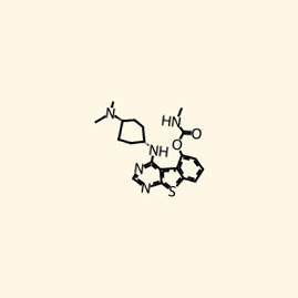 CNC(=O)Oc1cccc2sc3ncnc(N[C@H]4CC[C@H](N(C)C)CC4)c3c12